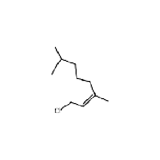 CC(=CCCl)CCCC(C)C